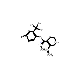 C=NC1=C(/C(=N\C)Oc2ccc(F)cc2C(F)(F)F)CCNC1